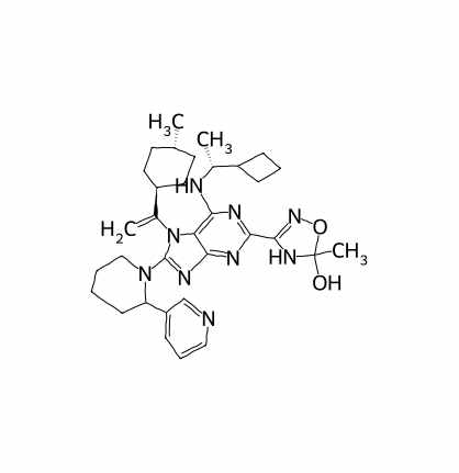 C=C([C@H]1CC[C@H](C)CC1)n1c(N2CCCCC2c2cccnc2)nc2nc(C3=NOC(C)(O)N3)nc(N[C@H](C)C3CCC3)c21